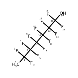 CC(F)(F)C(F)(F)C(F)(F)C(F)(F)C(F)(F)C(O)(F)F